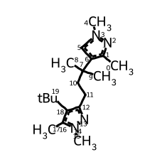 Cc1nn(C)cc1C(C)(C)CCc1nn(C)c(C)c1C(C)(C)C